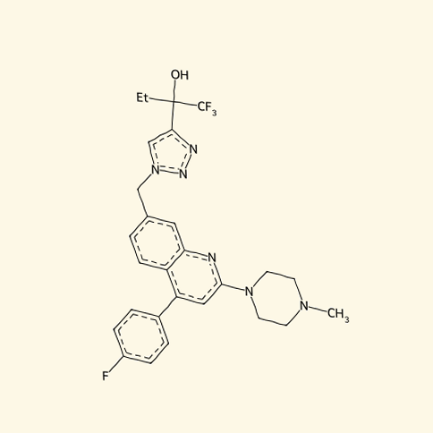 CCC(O)(c1cn(Cc2ccc3c(-c4ccc(F)cc4)cc(N4CCN(C)CC4)nc3c2)nn1)C(F)(F)F